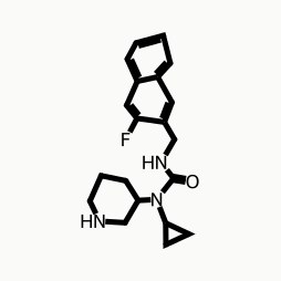 O=C(NCc1cc2ccccc2cc1F)N(C1CC1)C1CCCNC1